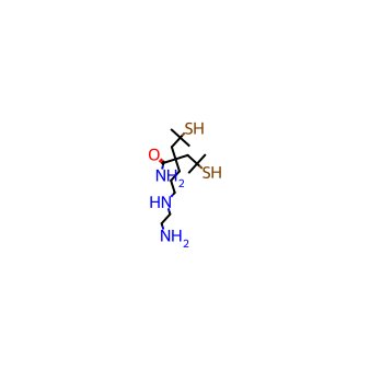 CC(C)(S)CC(CCCNCCN)(CC(C)(C)S)C(N)=O